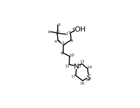 CC(C)(C)C[C@@H](CCO)CCCN1CCSCC1